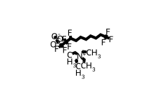 CC[N+](CC)(CC)CC.O=S(=O)([O-])C(F)(F)C(F)(F)C(F)CCCCCCC(F)(F)F